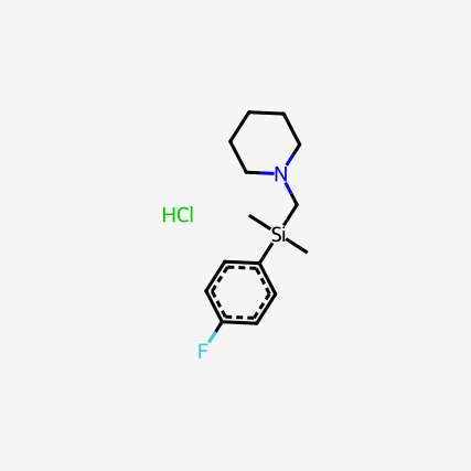 C[Si](C)(CN1CCCCC1)c1ccc(F)cc1.Cl